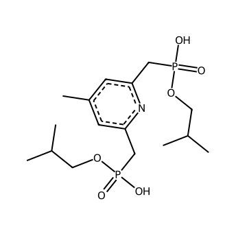 Cc1cc(CP(=O)(O)OCC(C)C)nc(CP(=O)(O)OCC(C)C)c1